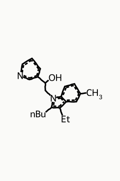 CCCCc1c(CC)c2cc(C)ccc2n1CC(O)c1cccnc1